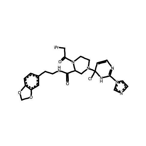 CC(C)CC(=O)N1CCN(C2(Cl)C=CN=C(n3ccnc3)N2)CC1C(=O)NCCc1ccc2c(c1)OCO2